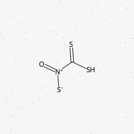 O=[N+]([S-])C(=S)S